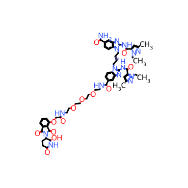 CCn1nc(C)cc1C(=O)Nc1nc2cc(C(N)=O)ccc2n1C/C=C/Cn1c(NC(=O)c2cc(C)nn2CC)nc2cc(C(=O)NCCOCCOCCOCCNC(=O)COc3cccc4c3C(=O)N(C3CCC(=O)NC3O)C4=O)ccc21